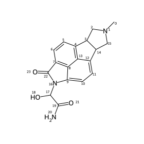 CN1CC2c3ccc4c5c(ccc(c35)C2C1)N(C(O)C(N)=O)C4=O